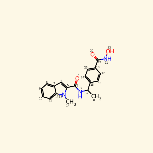 CC(NC(=O)c1cc2ccccc2n1C)c1ccc(C(=O)NO)cc1